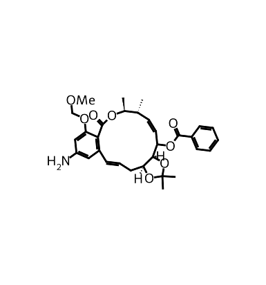 COCOc1cc(N)cc2c1C(=O)O[C@@H](C)[C@H](C)/C=C\C(OC(=O)c1ccccc1)[C@H]1OC(C)(C)O[C@H]1C/C=C/2